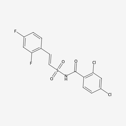 O=C(NS(=O)(=O)C=Cc1ccc(F)cc1F)c1ccc(Cl)cc1Cl